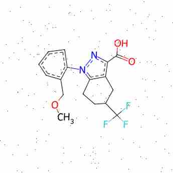 COCc1ccccc1-n1nc(C(=O)O)c2c1CCC(C(F)(F)F)C2